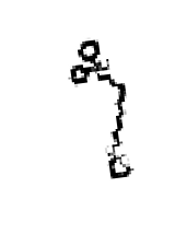 O=P(CCC/C=C\CCCCCCOC1CCCCO1)(c1ccccc1)c1ccccc1